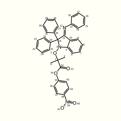 CC(C)(ON1c2ccccc2/C(=N\c2ccccc2)C1(c1ccccc1)c1ccccc1)C(=O)Oc1ccc([N+](=O)[O-])cc1